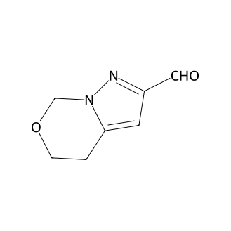 O=Cc1cc2n(n1)COCC2